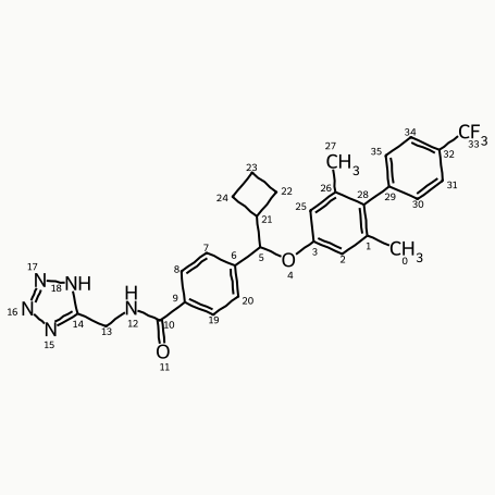 Cc1cc(OC(c2ccc(C(=O)NCc3nnn[nH]3)cc2)C2CCC2)cc(C)c1-c1ccc(C(F)(F)F)cc1